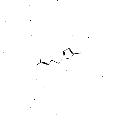 CC1=CC=S(CCC=C(F)F)N1